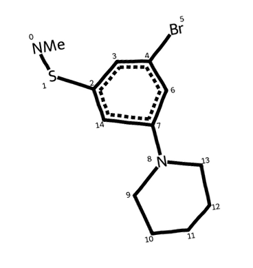 CNSc1cc(Br)cc(N2CCCCC2)c1